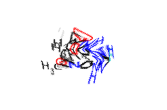 C[C@@H]1CN(c2ccc(Nc3ncc(F)c(Nc4ccc5c(n4)NC(=O)C(C)(C)O5)n3)cc2)C[C@H](C)O1